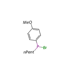 CCCCCP(Br)c1ccc(OC)cc1